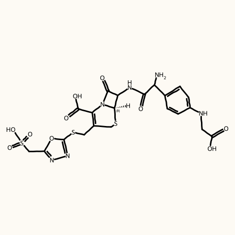 NC(C(=O)NC1C(=O)N2C(C(=O)O)=C(CSc3nnc(CS(=O)(=O)O)o3)CS[C@H]12)c1ccc(NCC(=O)O)cc1